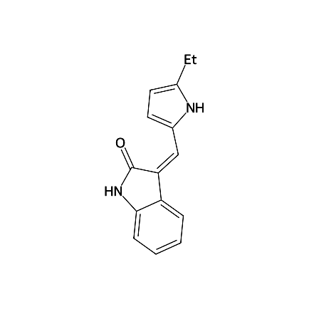 CCc1ccc(C=C2C(=O)Nc3ccccc32)[nH]1